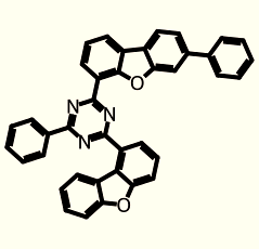 c1ccc(-c2ccc3c(c2)oc2c(-c4nc(-c5ccccc5)nc(-c5cccc6oc7ccccc7c56)n4)cccc23)cc1